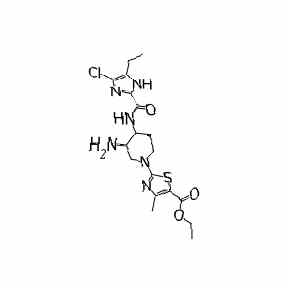 CCOC(=O)c1sc(N2CCC(NC(=O)c3nc(Cl)c(CC)[nH]3)C(N)C2)nc1C